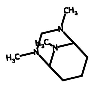 CN1CN(C)C2CCCC1N2C